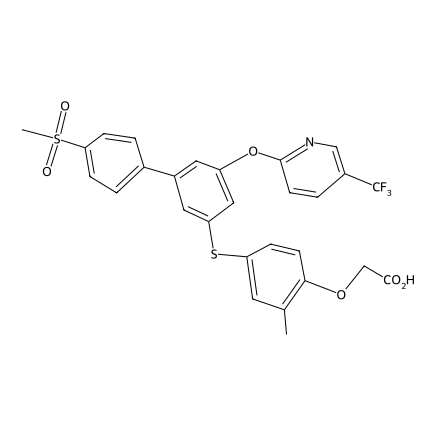 Cc1cc(Sc2cc(Oc3ccc(C(F)(F)F)cn3)cc(-c3ccc(S(C)(=O)=O)cc3)c2)ccc1OCC(=O)O